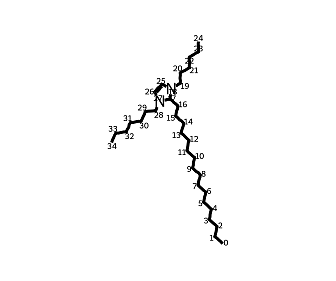 CCCCCCCCCCCCCCCCCC1N(CCCCCC)C=CN1CCCCCCC